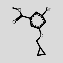 COC(=O)c1cc(Br)cc(OCC2CC2)c1